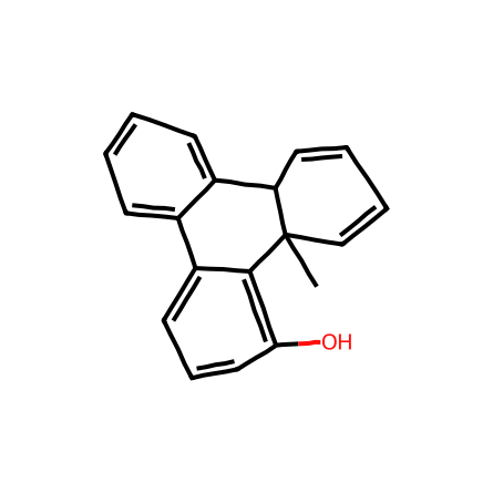 CC12C=CC=CC1c1ccccc1-c1cccc(O)c12